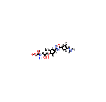 CCc1cc(-c2noc(-c3ccc(CN(C)CC)c(C)c3)n2)cc(C)c1OC[C@@H](O)CNC(=O)CO